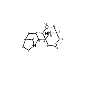 C1CC2CCN(C2)[C]1C12COCC(COC1)N2